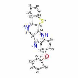 N#Cc1cnc2c(sc3ccccc32)c1Nc1ccc(Oc2ccccc2)cc1